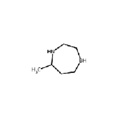 CC1CCBCCN1